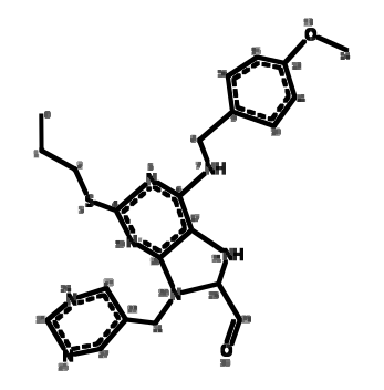 CCCSc1nc(NCc2ccc(OC)cc2)c2c(n1)N(Cc1cncnc1)C(C=O)N2